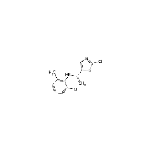 C=C(Nc1c(C)cccc1Cl)c1cnc(Cl)s1